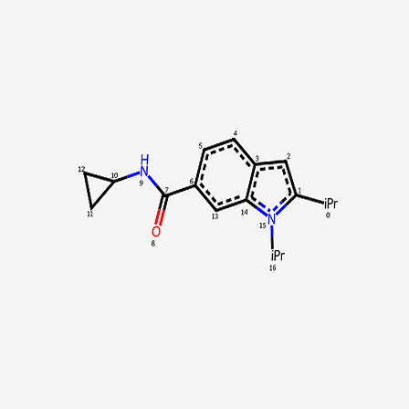 CC(C)c1cc2ccc(C(=O)NC3CC3)cc2n1C(C)C